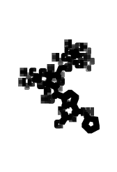 CC1(C)O[C@@H]2[C@H](O1)[C@@H](CO[Si](C)(C)C(C)(C)C)O[C@H]2C(O)c1ccc2c(NC3CCCC3)nc(Cl)nn12